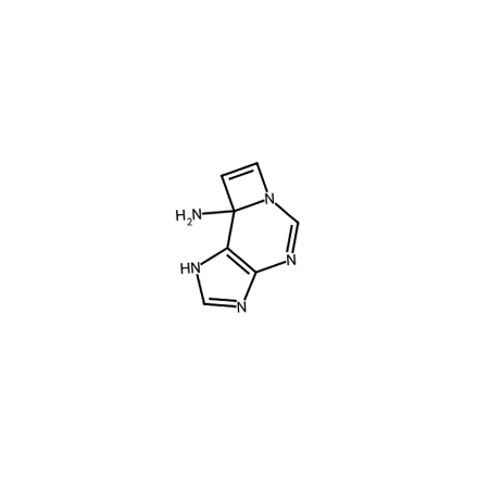 NC12C=CN1C=Nc1nc[nH]c12